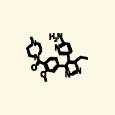 CCc1ncnc(-c2ccc(C(=O)N3CCN(C)CC3)c(OC)c2)c1-c1ccc(N)nc1